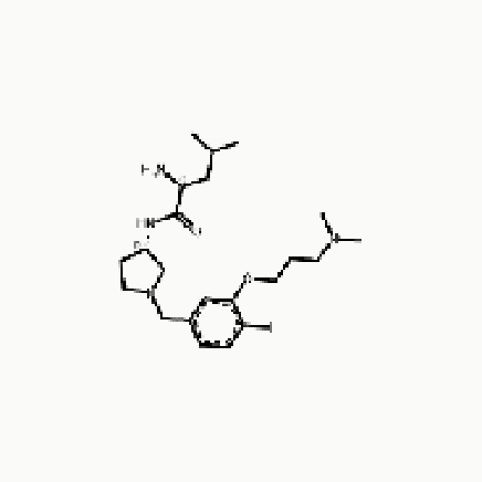 CC(C)C[C@H](N)C(=O)N[C@H]1CCN(Cc2ccc(I)c(OCCCN(C)C)c2)C1